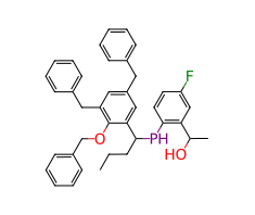 CCCC(Pc1ccc(F)cc1C(C)O)c1cc(Cc2ccccc2)cc(Cc2ccccc2)c1OCc1ccccc1